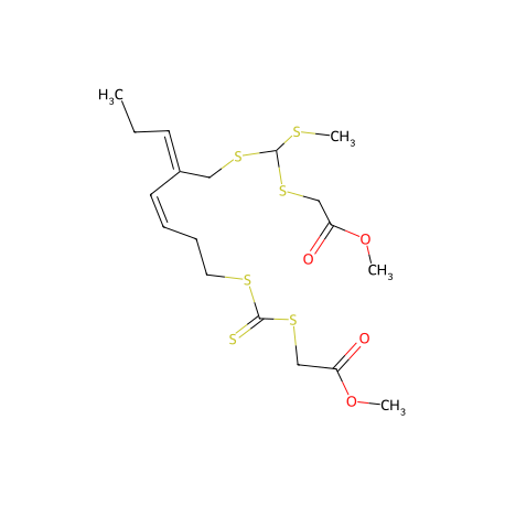 CC/C=C(\C=C/CCSC(=S)SCC(=O)OC)CSC(SC)SCC(=O)OC